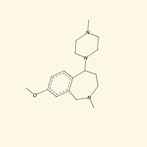 COc1ccc2c(c1)CN(C)CCC2N1CCN(C)CC1